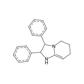 C1=C2NC(c3ccccc3)C(c3ccccc3)N2CCC1